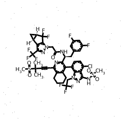 CC(C)(C#Cc1nc([C@H](Cc2cc(F)cc(F)c2)NC(=O)Cn2nc(C(F)(F)F)c3c2C(F)(F)[C@@H]2C[C@H]32)c(-c2ccc(Cl)c3c(NS(C)(=O)=O)nn(CC(F)(F)F)c23)c2c1CCCC2)S(C)(=O)=O